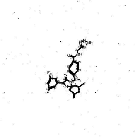 CC1CC(C)CC2(C1)N=C(c1cc(F)cc(F)c1)C(=O)N2[C@H](C)c1ccc(C(=O)NCc2nn[nH]n2)cc1